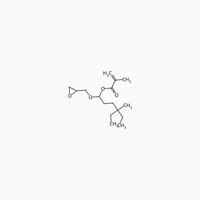 C=C(C)C(=O)OC(CCC(C)(CC)CC)OCC1CO1